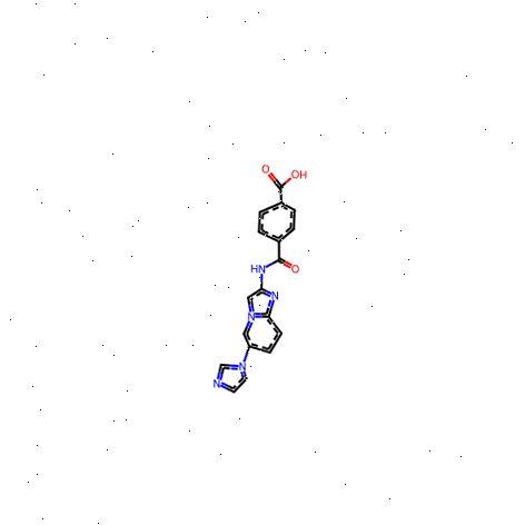 O=C(O)c1ccc(C(=O)Nc2cn3cc(-n4ccnc4)ccc3n2)cc1